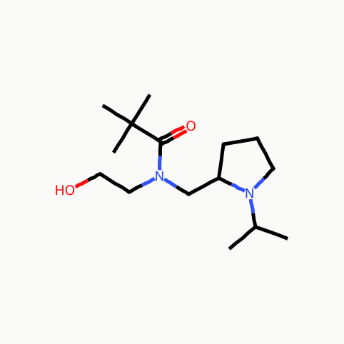 CC(C)N1CCCC1CN(CCO)C(=O)C(C)(C)C